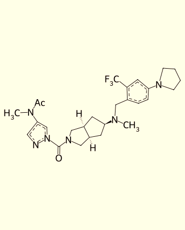 CC(=O)N(C)c1cnn(C(=O)N2C[C@H]3C[C@@H](N(C)Cc4ccc(N5CCCC5)cc4C(F)(F)F)C[C@H]3C2)c1